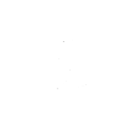 C=C(C)C(=O)OC1CCN1C1CCCCC1